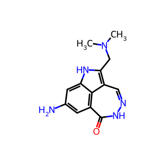 CN(C)Cc1[nH]c2cc(N)cc3c2c1C=NNC3=O